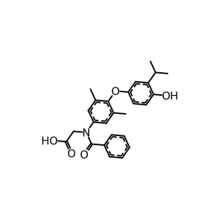 Cc1cc(N(CC(=O)O)C(=O)c2ccccc2)cc(C)c1Oc1ccc(O)c(C(C)C)c1